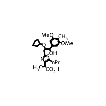 CCCc1sc(CC(OC2CCCC2)C(O)c2cc(OC)c(C)c(OC)c2)nc1C(C)C(=O)O